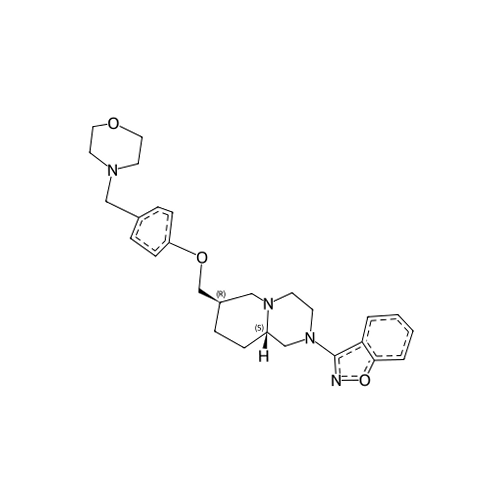 c1ccc2c(N3CCN4C[C@H](COc5ccc(CN6CCOCC6)cc5)CC[C@H]4C3)noc2c1